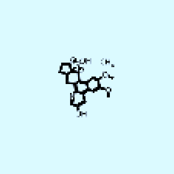 C.COc1cc2c3c(c4ncc(O)cc4c2cc1OC)CC1CCCC1(S(=O)(=O)O)C3